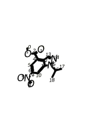 COC(=O)c1cc([N+](=O)[O-])cc2c1cnn2C(C)C